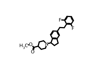 COC(=O)C1CCN(C2CCc3cc(CCc4c(F)cccc4F)ccc32)CC1